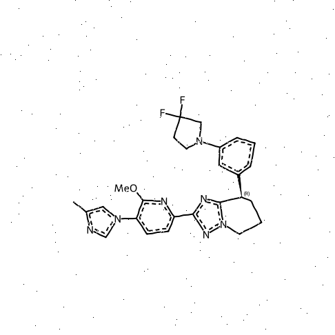 COc1nc(-c2nc3n(n2)CCC[C@@H]3c2cccc(N3CCC(F)(F)C3)c2)ccc1-n1cnc(C)c1